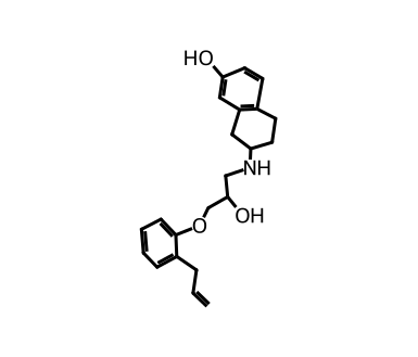 C=CCc1ccccc1OCC(O)CNC1CCc2ccc(O)cc2C1